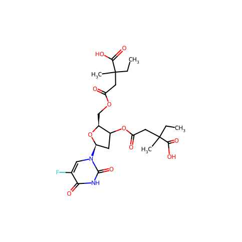 CCC(C)(CC(=O)OC[C@@H]1O[C@H](n2cc(F)c(=O)[nH]c2=O)CC1OC(=O)CC(C)(CC)C(=O)O)C(=O)O